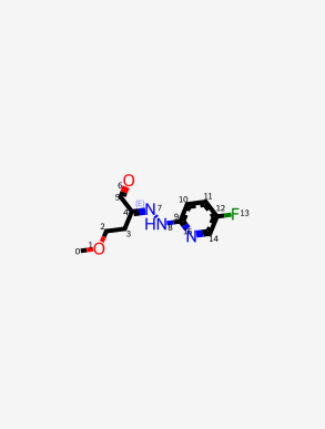 COCC/C(C=O)=N\Nc1ccc(F)cn1